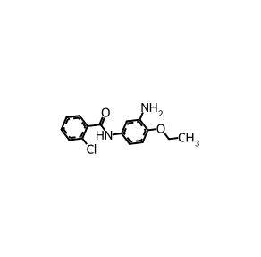 CCOc1ccc(NC(=O)c2ccccc2Cl)cc1N